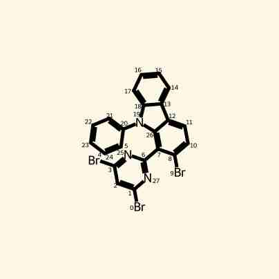 Brc1cc(Br)nc(-c2c(Br)ccc3c4ccccc4n(-c4ccccc4)c23)n1